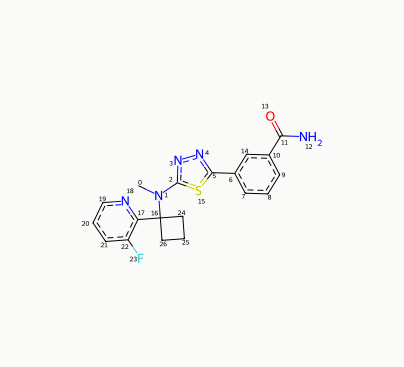 CN(c1nnc(-c2cccc(C(N)=O)c2)s1)C1(c2ncccc2F)CCC1